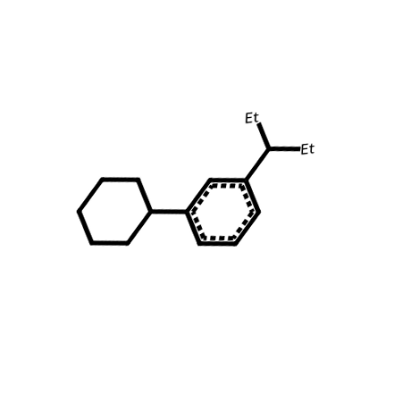 CCC(CC)c1cccc(C2CCCCC2)c1